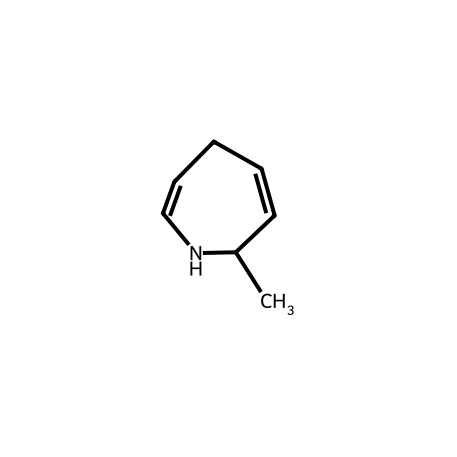 CC1C=CCC=CN1